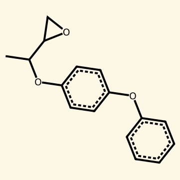 CC(Oc1ccc(Oc2ccccc2)cc1)C1CO1